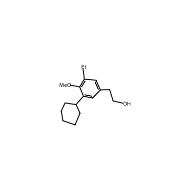 CCc1cc(CCO)cc(C2CCCCC2)c1OC